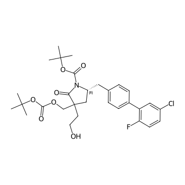 CC(C)(C)OC(=O)OCC1(CCO)C[C@@H](Cc2ccc(-c3cc(Cl)ccc3F)cc2)N(C(=O)OC(C)(C)C)C1=O